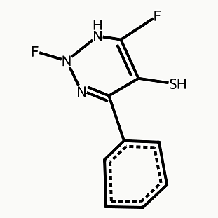 FC1=C(S)C(c2ccccc2)=NN(F)N1